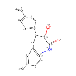 COc1ccc(C2Cc3cc(OC)ccc3NC(=O)C2O)cc1